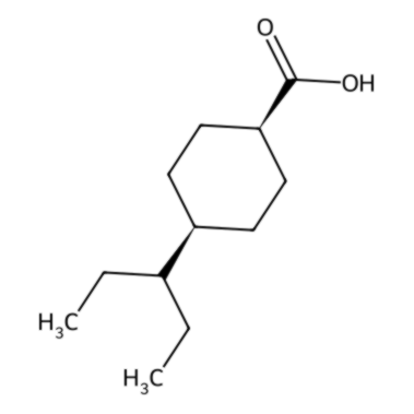 CCC(CC)[C@H]1CC[C@@H](C(=O)O)CC1